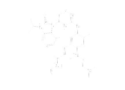 Cc1cc(N(C)CCN(C)C)c(C=CC(=O)NC=O)cc1Nc1nccc(-n2c(=O)n(C(C)C)c3ccccc32)n1